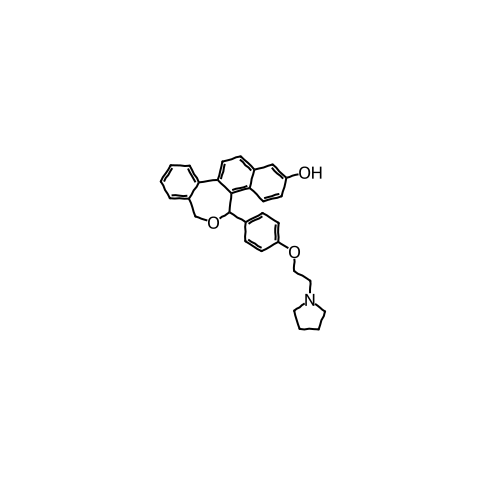 Oc1ccc2c3c(ccc2c1)-c1ccccc1COC3c1ccc(OCCN2CCCC2)cc1